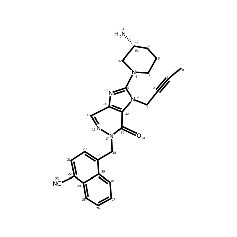 CC#CCn1c(N2CCC[C@@H](N)C2)nc2cnn(Cc3ccc(C#N)c4ccccc34)c(=O)c21